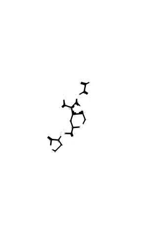 O=C(O)C(=O)Nc1sc2c(c1C(=O)O)CC(C(=O)NC1CCSC1=O)NC2